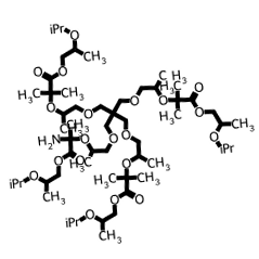 CC(C)OC(C)COC(=O)C(C)(C)OC(C)COCC(COCC(C)OC(C)(C)C(=O)OCC(C)OC(C)C)(COCC(C)OC(C)(C)C(=O)OCC(C)OC(C)C)COCC(C)OC(C)(N)C(=O)OCC(C)OC(C)C